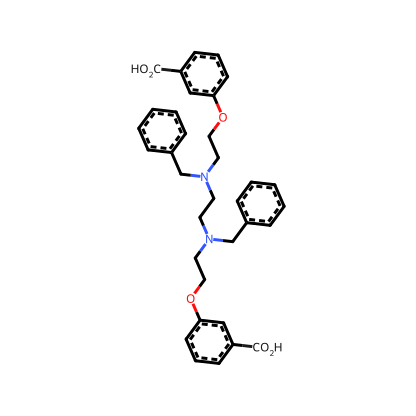 O=C(O)c1cccc(OCCN(CCN(CCOc2cccc(C(=O)O)c2)Cc2ccccc2)Cc2ccccc2)c1